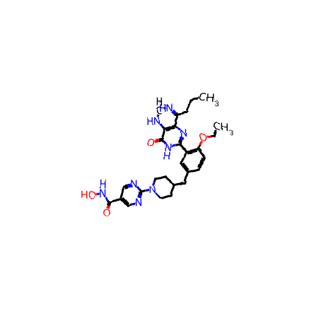 CCCC(=N)c1nc(-c2cc(CC3CCN(c4ncc(C(=O)NO)cn4)CC3)ccc2OCC)[nH]c(=O)c1NC